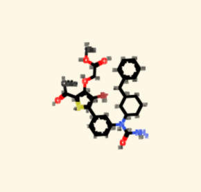 COC(=O)c1sc(-c2cccc(N(C(N)=O)C3CCCC(Cc4ccccc4)C3)c2)c(Br)c1OCC(=O)OC(C)(C)C